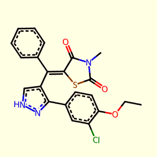 CCOc1ccc(-c2n[nH]cc2C(=C2SC(=O)N(C)C2=O)c2ccccc2)cc1Cl